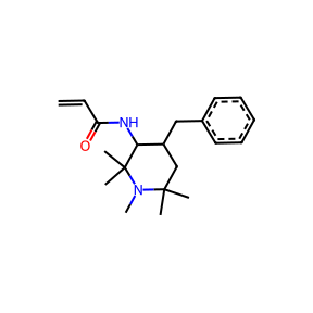 C=CC(=O)NC1C(Cc2ccccc2)CC(C)(C)N(C)C1(C)C